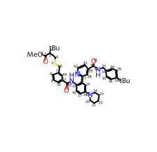 COC(=O)C(CSCc1cccc(C(=O)Nc2ccc(N3CCCCC3)cc2-c2cc(C(=O)NCc3ccc(C(C)(C)C)cc3)ccn2)c1)C(C)(C)C